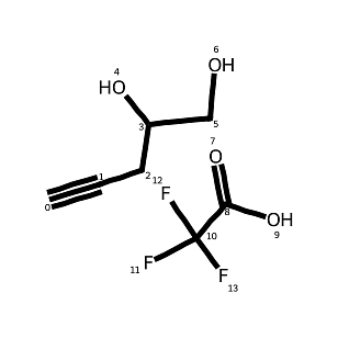 C#CCC(O)CO.O=C(O)C(F)(F)F